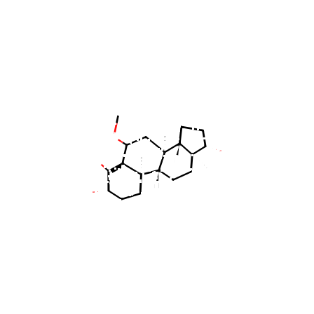 COC1C[C@H]2[C@@H]3CC[C@H](O)[C@@]3(C)CC[C@@H]2[C@@]2(C)CC[C@H](O)C(O)=C12